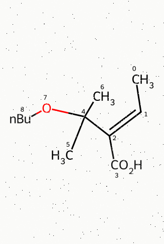 CC=C(C(=O)O)C(C)(C)OCCCC